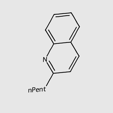 CCCCCc1ccc2ccccc2n1